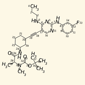 CCCNc1nc(Nc2cccc(F)c2)ncc1C#CC1CCC[C@H](NC(=O)[C@H](C)N(C)C(=O)OC(C)(C)C)C1